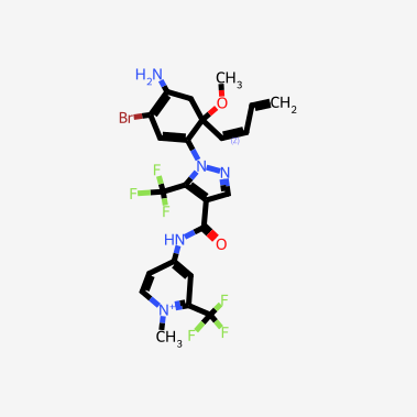 C=C/C=C\C1(OC)CC(N)=C(Br)C=C1n1ncc(C(=O)Nc2cc[n+](C)c(C(F)(F)F)c2)c1C(F)(F)F